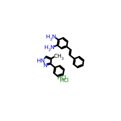 Cc1c[nH]nc1-c1ccccc1.Cl.Cl.Nc1ccc(C=Cc2ccccc2)cc1N